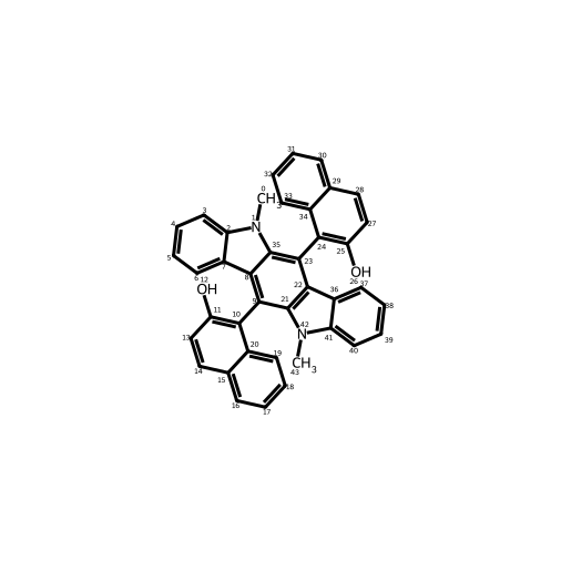 Cn1c2ccccc2c2c(-c3c(O)ccc4ccccc34)c3c(c(-c4c(O)ccc5ccccc45)c21)c1ccccc1n3C